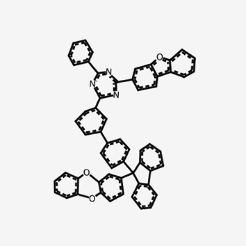 c1ccc(-c2nc(-c3cccc(-c4ccc(C5(c6ccc7c(c6)Oc6ccccc6O7)c6ccccc6-c6ccccc65)cc4)c3)nc(-c3ccc4c(c3)oc3ccccc34)n2)cc1